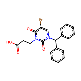 O=C(O)CCn1c(=O)c(Br)cn(C(c2ccccc2)c2ccccc2)c1=O